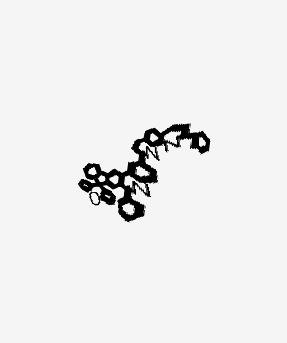 c1ccc(-c2ccc3ccc4ccc(-c5ccc6nc(-c7ccccc7)c7cc8c(cc7c6c5)-c5ccccc5C85c6ccccc6Oc6ccccc65)nc4c3n2)cc1